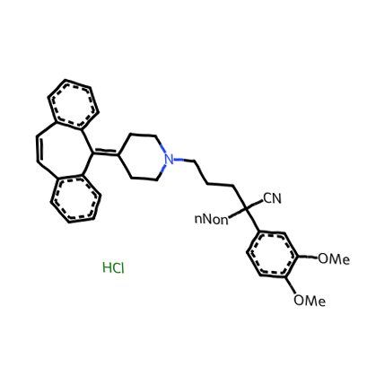 CCCCCCCCCC(C#N)(CCCN1CCC(=C2c3ccccc3C=Cc3ccccc32)CC1)c1ccc(OC)c(OC)c1.Cl